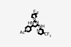 CC(=O)N1CCC(C2CC(NC3=NCCC(C(F)(F)F)=C3)N=C(N3CCC(F)(F)C3)N2)CC1